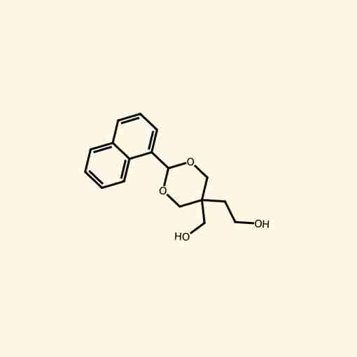 OCCC1(CO)COC(c2cccc3ccccc23)OC1